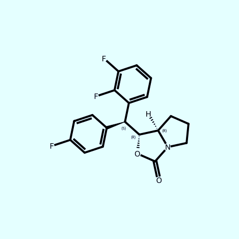 O=C1O[C@H]([C@@H](c2ccc(F)cc2)c2cccc(F)c2F)[C@H]2CCCN12